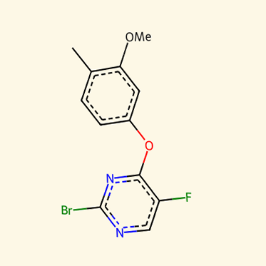 COc1cc(Oc2nc(Br)ncc2F)ccc1C